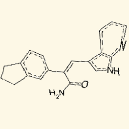 NC(=O)C(=Cc1c[nH]c2ncccc12)c1ccc2c(c1)CCC2